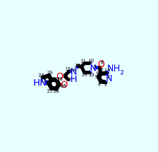 Nc1ncccc1C(=O)N1CCC(CNCC2COc3ccc4[nH]ccc4c3O2)CC1